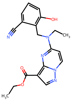 CCOC(=O)c1cnn2ccc(N(CC)Cc3c(O)cccc3C#N)nc12